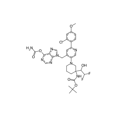 COc1ccc(-c2cc(Cn3cnc4c(OC(N)=O)ncnc43)c(N3CCCC(NC(=O)OC(C)(C)C)(C(O)C(F)F)C3)cn2)c(Cl)c1